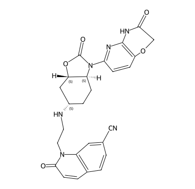 N#Cc1ccc2ccc(=O)n(CCN[C@H]3CC[C@H]4[C@H](C3)OC(=O)N4c3ccc4c(n3)NC(=O)CO4)c2c1